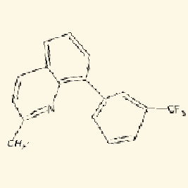 [CH2]c1ccc2cccc(-c3cccc(C(F)(F)F)c3)c2n1